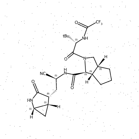 CC(C)(C)[C@H](NC(=O)C(F)(F)F)C(=O)N1C[C@@H]2CCC[C@@H]2[C@H]1C(=O)N[C@H](C#N)C[C@H]1C(=O)N[C@H]2C[C@H]21